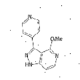 COc1nccc2[nH]nc(-c3ccncc3)c12